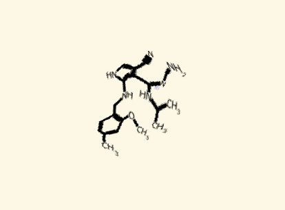 COc1cc(C)ccc1CNc1[nH]cc(C#N)c1/C(=N\CN)NC(C)C